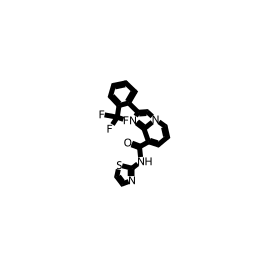 O=C(Nc1nccs1)c1cccn2cc(-c3ccccc3C(F)(F)F)nc12